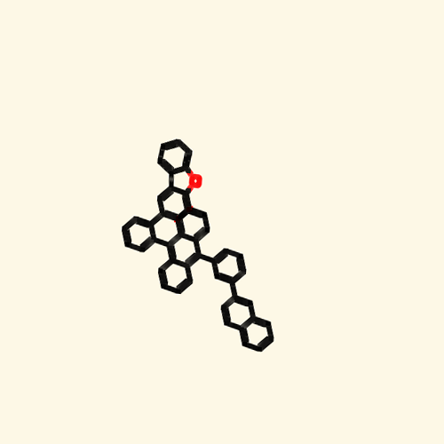 c1cc(-c2ccc3ccccc3c2)cc(-c2c3ccccc3c(-c3ccccc3-c3ccc4oc5ccccc5c4c3)c3ccccc23)c1